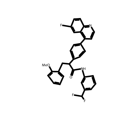 COc1ccccc1CC(C(=O)Nc1cccc(C(F)F)c1)c1ccc(-c2ccnc3ccc(F)cc23)cc1